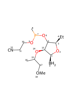 B[C@@H]1O[C@H](CC)C(OP(C)OCC[N+]#[C-])[C@@H]1OC(C)COC